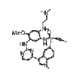 CC#CC(=O)Nc1cc(Nc2nccc(-c3cn(C)c4ccc(F)cc34)n2)c(OC)cc1N(C)CCN(C)C